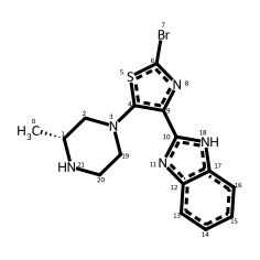 C[C@@H]1CN(c2sc(Br)nc2-c2nc3ccccc3[nH]2)CCN1